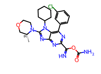 C[C@@H]1COCCN1c1nc2nc(C(=N)OC(N)=O)nc(-c3cccc(Cl)c3)c2n1C1CCCCC1